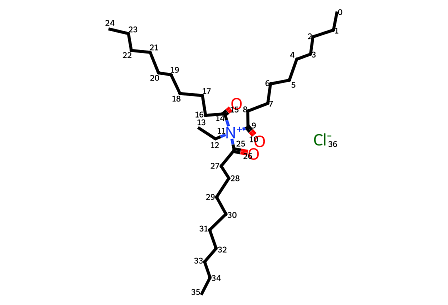 CCCCCCCCCC(=O)[N+](CC)(C(=O)CCCCCCCCC)C(=O)CCCCCCCCC.[Cl-]